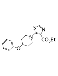 CCOC(=O)c1ncsc1N1CCC(Oc2ccccc2)CC1